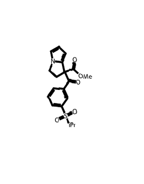 COC(=O)C1(C(=O)c2cccc(S(=O)(=O)C(C)C)c2)CCn2cccc21